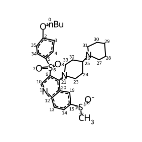 CCCCOc1ccc(S(=O)(=O)c2cnc3ccc([S+](C)[O-])cc3c2N2CCC(N3CCCCC3)CC2)cc1